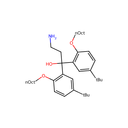 CCCCCCCCOc1ccc(C(C)(C)C)cc1C(O)(CCN)c1cc(C(C)(C)C)ccc1OCCCCCCCC